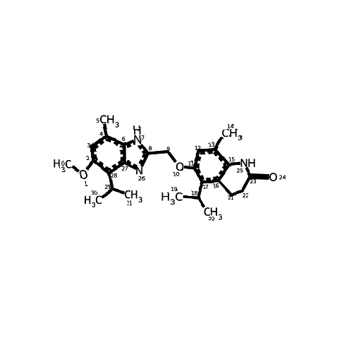 COc1cc(C)c2[nH]c(COc3cc(C)c4c(c3C(C)C)CCC(=O)N4)nc2c1C(C)C